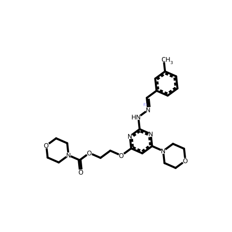 Cc1cccc(/C=N/Nc2nc(OCCOC(=O)N3CCOCC3)cc(N3CCOCC3)n2)c1